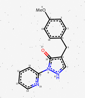 COc1ccc(Cc2c[nH]n(-c3ccccn3)c2=O)cc1